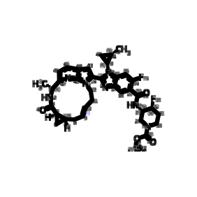 C[C@H]1NC(=O)[C@@H]2C[C@H]2C/C=C/CCn2c(-c3nc4cc(C(=O)N[C@H]5CN(C(=O)OC(C)(C)C)CC[C@@H]5F)c(F)cc4n3[C@H]3C[C@@H]3C)cc3ccc1nc32